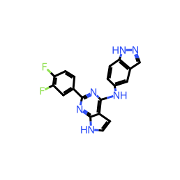 Fc1ccc(-c2nc(Nc3ccc4[nH]ncc4c3)c3cc[nH]c3n2)cc1F